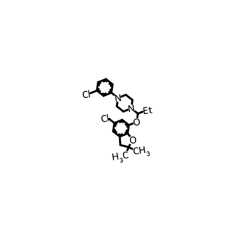 CCC(Oc1cc(Cl)cc2c1OC(C)(C)C2)N1CCN(c2cccc(Cl)c2)CC1